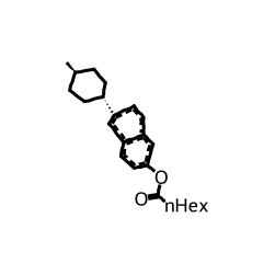 CCCCCCC(=O)Oc1ccc2cc([C@H]3CC[C@H](C)CC3)ccc2c1